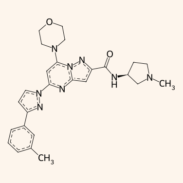 Cc1cccc(-c2ccn(-c3cc(N4CCOCC4)n4nc(C(=O)N[C@H]5CCN(C)C5)cc4n3)n2)c1